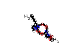 CCCCCCCCC(c1cccc(C)n1)N1CCOCCOCCN(Cc2cccc(C(=O)OC)n2)CCOCCOCC1